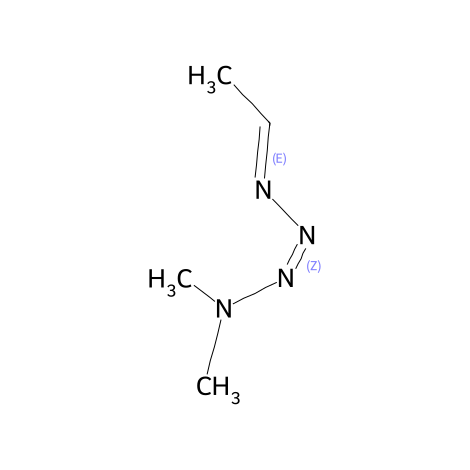 C/C=N/N=N\N(C)C